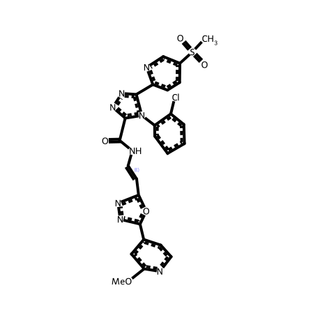 COc1cc(-c2nnc(/C=C/NC(=O)c3nnc(-c4ccc(S(C)(=O)=O)cn4)n3-c3ccccc3Cl)o2)ccn1